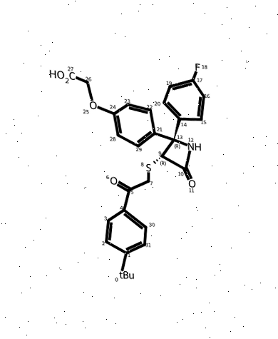 CC(C)(C)c1ccc(C(=O)CS[C@H]2C(=O)N[C@@]2(c2ccc(F)cc2)c2ccc(OCC(=O)O)cc2)cc1